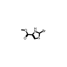 COC(=O)C1=CSC(Br)N1